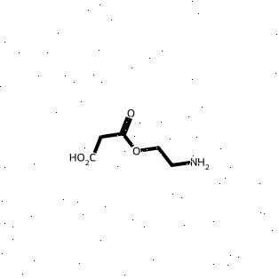 NCCOC(=O)CC(=O)O